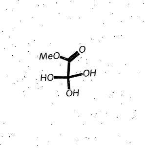 COC(=O)C(O)(O)O